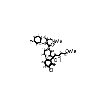 CNC[C@H](C[C@H]1CC[C@H](F)CC1)NC(=O)N1CCOC([C@@](O)(CCCCOC)c2cccc(Cl)c2F)C1